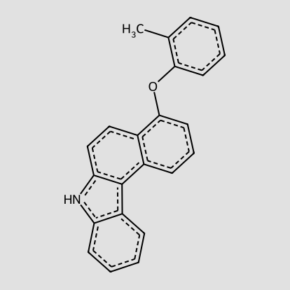 Cc1ccccc1Oc1cccc2c1ccc1[nH]c3ccccc3c12